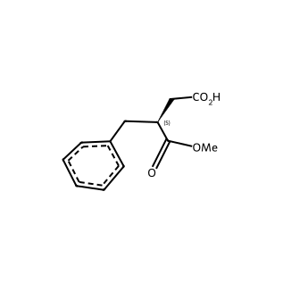 COC(=O)[C@H](CC(=O)O)Cc1ccccc1